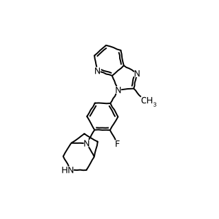 Cc1nc2cccnc2n1-c1ccc(N2C3CCC2CNC3)c(F)c1